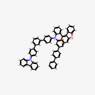 c1ccc(-c2ccc(-c3cccc(N(c4ccc(-c5cccc(-c6ccc(-n7c8ccccc8c8ccccc87)cc6)c5)cc4)c4ccccc4-c4cccc5oc6ccccc6c45)c3)cc2)cc1